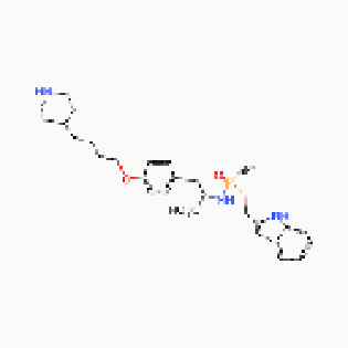 CCCP(=O)(NC(Cc1ccc(OCCCCC2CCNCC2)cc1)C(=O)O)OCc1cc2ccccc2[nH]1